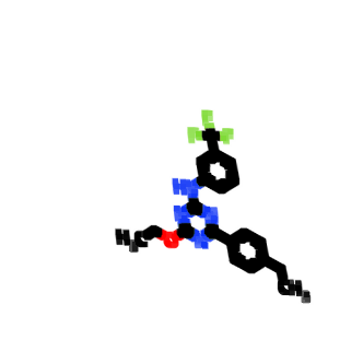 CCOc1nc(Nc2cccc(C(F)(F)F)c2)nc(-c2ccc(CC)cc2)n1